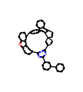 C1=CC2=CC3(C=Cc4c3c3ccc(cc3c3ccccc43)-c3cccc4oc5ccc(cc5c34)-c3nc2nc(-c2cccc(-c4ccccc4)c2)n3)C1